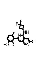 COc1ccc(C)c(-c2cc3cnc(Cl)cc3c(NC3CC(F)(F)C3)n2)c1Cl